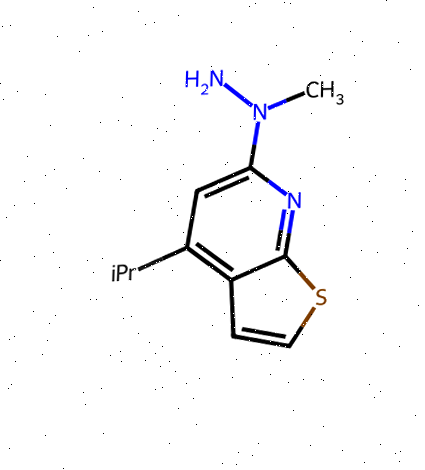 CC(C)c1cc(N(C)N)nc2sccc12